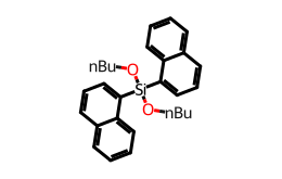 CCCCO[Si](OCCCC)(c1cccc2ccccc12)c1cccc2ccccc12